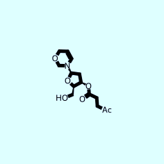 CC(=O)CCC(=O)O[C@@H]1C[C@H](N2C=CCOC2)O[C@@H]1CO